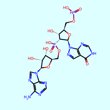 Nc1ncnc2c1ncn2[C@@H]1O[C@H](COP(=O)(O)[C@@H]2[C@H](O)[C@@H](CO[PH](=O)O)O[C@H]2n2ncc3c(=O)[nH]cnc32)[C@@H](O)[C@H]1O